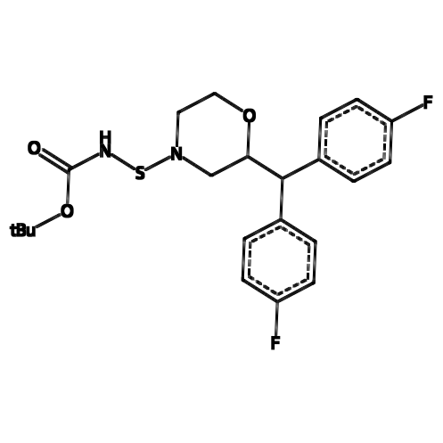 CC(C)(C)OC(=O)NSN1CCOC(C(c2ccc(F)cc2)c2ccc(F)cc2)C1